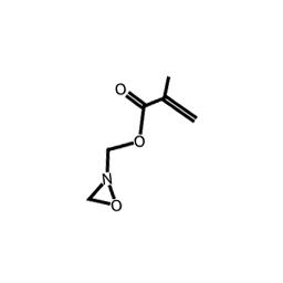 C=C(C)C(=O)OCN1CO1